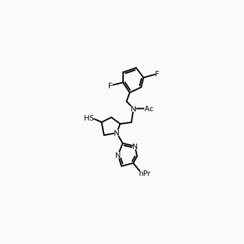 CCCc1cnc(N2CC(S)CC2CN(Cc2cc(F)ccc2F)C(C)=O)nc1